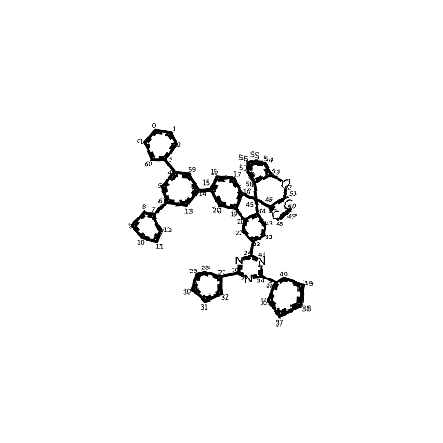 c1ccc(-c2cc(-c3ccccc3)cc(-c3ccc4c(c3)-c3cc(-c5nc(-c6ccccc6)nc(-c6ccccc6)n5)ccc3C43c4ccccc4Oc4ccccc43)c2)cc1